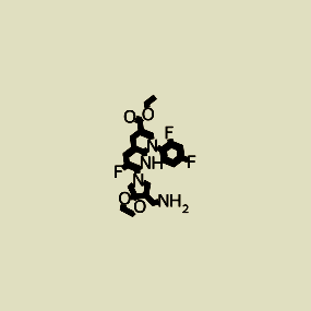 CCOC(=O)C1=CN(c2ccc(F)cc2F)C2NC(N3CC(CN)C4(C3)OCCO4)=C(F)C=C2C1